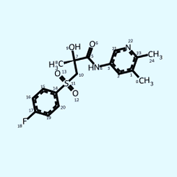 Cc1cc(NC(=O)[C@@](C)(O)CS(=O)(=O)c2ccc(F)cc2)cnc1C